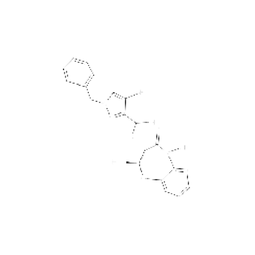 C[C@@H]1Oc2cccnc2N(C)C(=O)[C@H]1NC(O)c1nn(Cc2ccccc2)cc1F